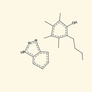 CCCCc1c(C)c(C)c(C)c(C)c1O.c1ccc2[nH]nnc2c1